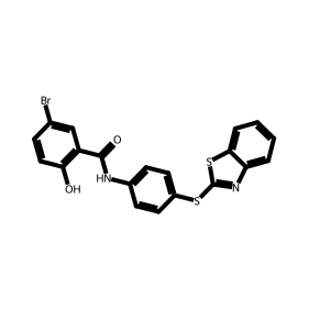 O=C(Nc1ccc(Sc2nc3ccccc3s2)cc1)c1cc(Br)ccc1O